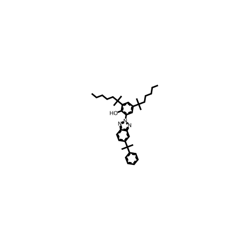 CCCCCC(C)(C)c1cc(-n2nc3ccc(C(C)(C)c4ccccc4)cc3n2)c(O)c(C(C)(C)CCCCC)c1